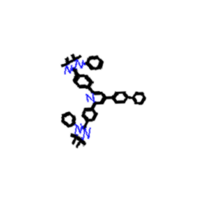 CC1(C)N=C(c2ccc(-c3cc(-c4ccc(-c5ccccc5)cc4)cc(-c4ccc(C5=NC(C)(C)C(C)(C)N5c5ccccc5)cc4)n3)cc2)N(c2ccccc2)C1(C)C